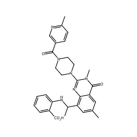 Cc1cc(C(C)Nc2ccccc2C(=O)O)c2nc(N3CCN(C(=O)c4ccc(C)nc4)CC3)n(C)c(=O)c2c1